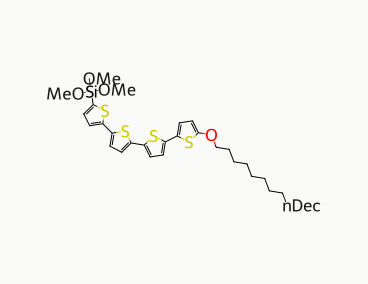 CCCCCCCCCCCCCCCCCCOc1ccc(-c2ccc(-c3ccc(-c4ccc([Si](OC)(OC)OC)s4)s3)s2)s1